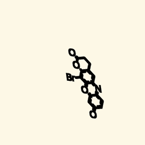 O=C1CCc2cc3nc4ccc(=O)cc-4oc3c(Br)c2O1